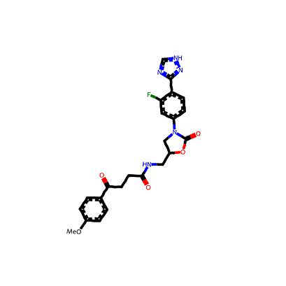 COc1ccc(C(=O)CCC(=O)NCC2CN(c3ccc(-c4nc[nH]n4)c(F)c3)C(=O)O2)cc1